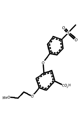 COCCOc1cc(Oc2ccc(S(C)(=O)=O)cc2)cc(C(=O)O)c1